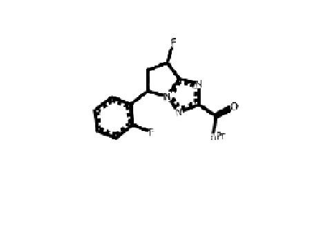 CCCC(=O)c1nc2n(n1)C(c1ccccc1F)CC2F